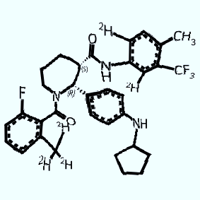 [2H]c1cc(C)c(C(F)(F)F)c([2H])c1NC(=O)[C@H]1CCCN(C(=O)c2c(F)cccc2C([2H])([2H])[2H])[C@H]1c1ccc(NC2CCCC2)cc1